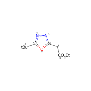 CCOC(=O)Cc1nnc(C(C)(C)C)o1